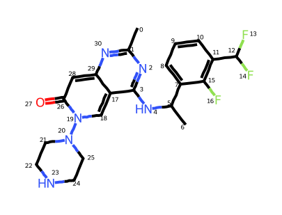 Cc1nc(NC(C)c2cccc(C(F)F)c2F)c2cn(N3CCNCC3)c(=O)cc2n1